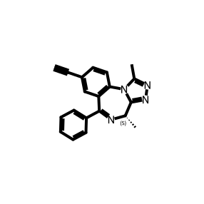 C#Cc1ccc2c(c1)C(c1ccccc1)=N[C@@H](C)c1nnc(C)n1-2